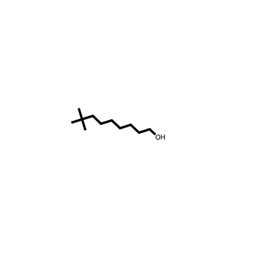 CC(C)(C)CCCCCCCO